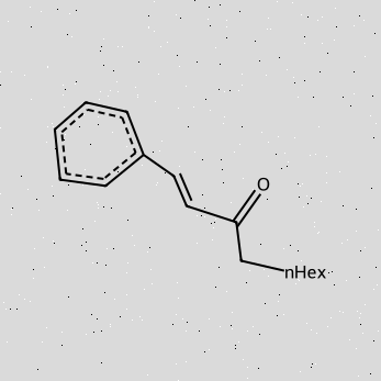 CCCCCCCC(=O)/C=C/c1ccccc1